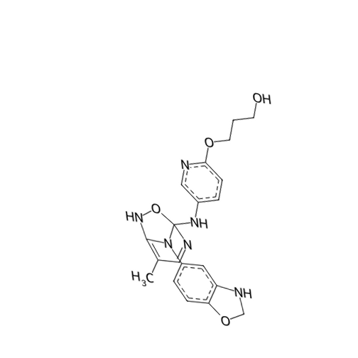 CC1=C2NOC(Nc3ccc(OCCCO)nc3)(N=C1)N2c1ccc2c(c1)NCO2